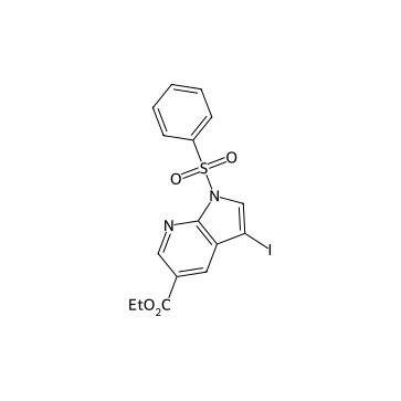 CCOC(=O)c1cnc2c(c1)c(I)cn2S(=O)(=O)c1ccccc1